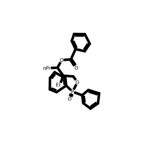 CCCC(OC(=O)c1ccccc1)C(CC)COP(=O)(c1ccccc1)c1ccccc1